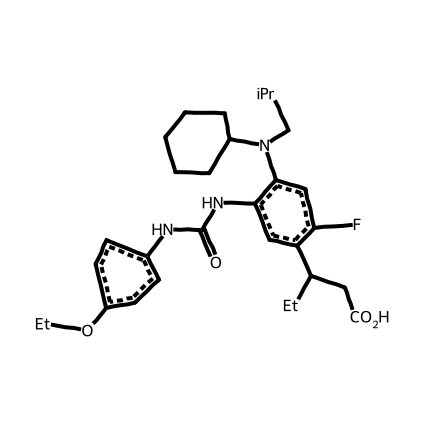 CCOc1ccc(NC(=O)Nc2cc(C(CC)CC(=O)O)c(F)cc2N(CC(C)C)C2CCCCC2)cc1